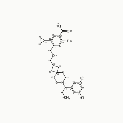 CCC(c1cc(Cl)cc(Cl)c1)N1CCC2(CC1)CC(COCc1cc(F)c(C(=O)O)cc1C1CC1)C2